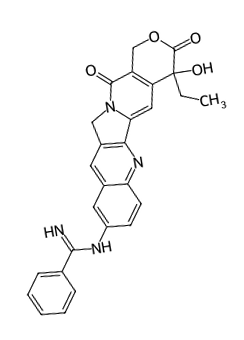 CCC1(O)C(=O)OCc2c1cc1n(c2=O)Cc2cc3cc(NC(=N)c4ccccc4)ccc3nc2-1